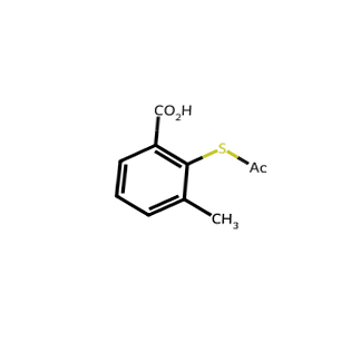 CC(=O)Sc1c(C)cccc1C(=O)O